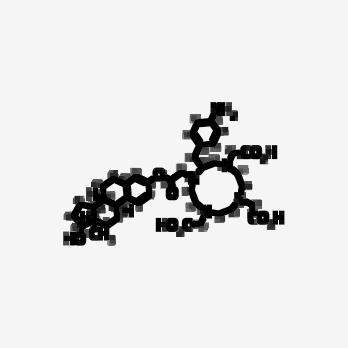 C[C@]12CC[C@@H]3c4ccc(OC(=O)CN5CCN(CC(=O)O)CCN(CC(=O)O)CCN(CC(=O)O)CC5Cc5ccc(N)cc5)cc4CC[C@H]3[C@@H]1CC[C@@H]2O